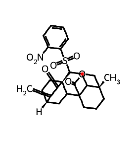 C=C1C(=O)[C@]23CC[C@H]1CC2C12CCC[C@@](C)(COC1=O)C2CC3S(=O)(=O)c1ccccc1[N+](=O)[O-]